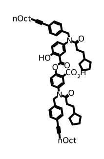 CCCCCCCCC#Cc1ccc(CN(C(=O)CCC2CCCC2)c2ccc(O)c(C(=O)Oc3ccc(N(Cc4ccc(C#CCCCCCCCC)cc4)C(=O)CCC4CCCC4)cc3C(=O)O)c2)cc1